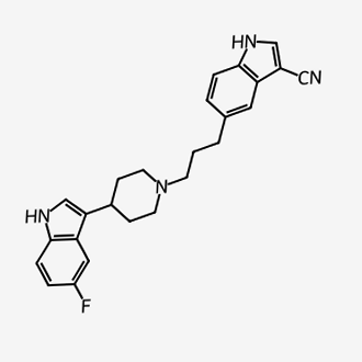 N#Cc1c[nH]c2ccc(CCCN3CCC(c4c[nH]c5ccc(F)cc45)CC3)cc12